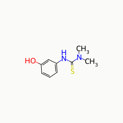 CN(C)C(=S)Nc1cccc(O)c1